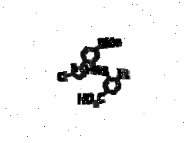 CCc1ccc(C(=O)O)cc1SNc1cc(SC)ccc1-c1ccc(Cl)s1